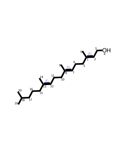 C/C(=C\CO)CC/C=C(\C)CC/C=C(\C)CCCC(C)C